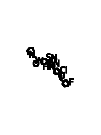 O=C(CCN1CCCCC1)N1CCc2c(sc3ncnc(Nc4ccc(OCc5cccc(F)c5)c(Cl)c4)c23)C1